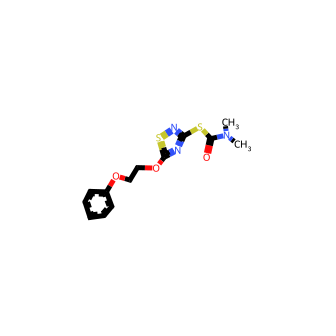 CN(C)C(=O)Sc1nsc(OCCOc2ccccc2)n1